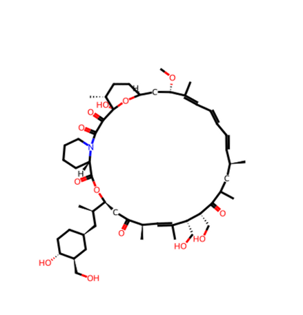 CO[C@H]1C[C@@H]2CC[C@@H](C)[C@@](O)(O2)C(=O)C(=O)N2CCCC[C@H]2C(=O)O[C@H]([C@H](C)C[C@@H]2CC[C@@H](O)[C@H](CO)C2)CC(=O)[C@H](C)/C=C(\C)[C@@H](CO)[C@@H](CO)C(=O)C(C)C[C@H](C)/C=C/C=C/C=C/1C